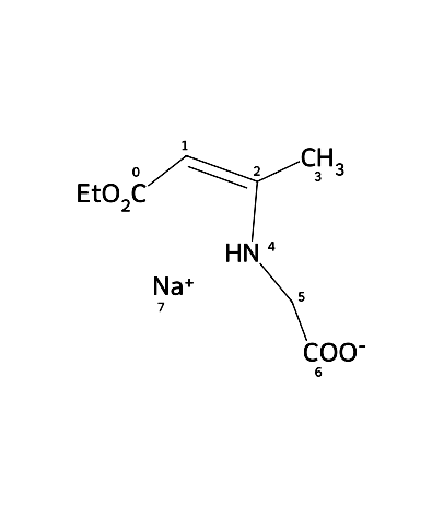 CCOC(=O)C=C(C)NCC(=O)[O-].[Na+]